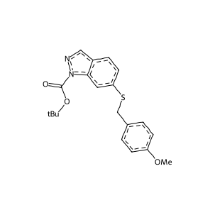 COc1ccc(CSc2ccc3cnn(C(=O)OC(C)(C)C)c3c2)cc1